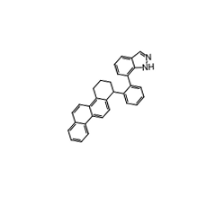 c1ccc(C2CCCc3c2ccc2c3ccc3ccccc32)c(-c2cccc3cn[nH]c23)c1